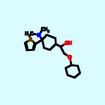 CN(C)C1(c2cccs2)CCC(C(O)COC2CCCCC2)CC1